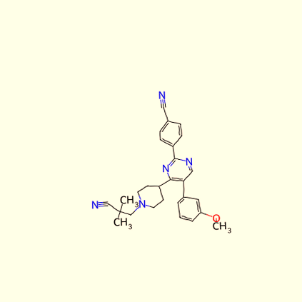 COc1cccc(-c2cnc(-c3ccc(C#N)cc3)nc2C2CCN(CC(C)(C)C#N)CC2)c1